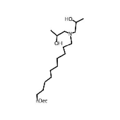 CCCCCCCCCCCCCCCCCCCCN(CC(C)O)CC(C)O